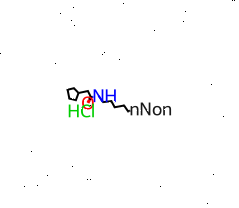 CCCCCCCCCCCCCCNC(=O)CC1CCCC1.Cl